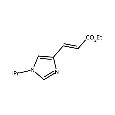 CCOC(=O)C=Cc1cn(C(C)C)cn1